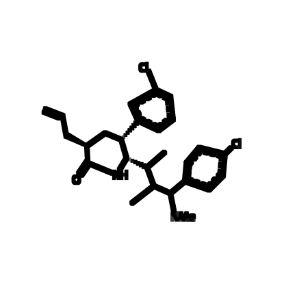 C=CC[C@H]1C[C@H](c2cccc(Cl)c2)[C@H](C(C)C(C)C(NC)c2ccc(Cl)cc2)NC1=O